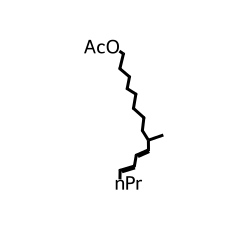 CCCC=CC=CC(C)CCCCCCCCOC(C)=O